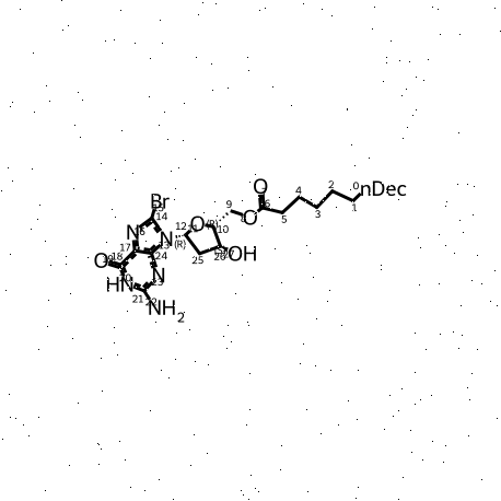 CCCCCCCCCCCCCCCC(=O)OC[C@H]1O[C@@H](n2c(Br)nc3c(=O)[nH]c(N)nc32)C[C@@H]1O